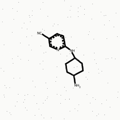 N#Cc1ccc(NC2CCC(N)CC2)nc1